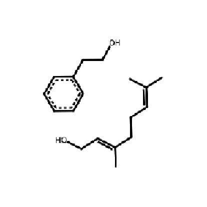 CC(C)=CCCC(C)=CCO.OCCc1ccccc1